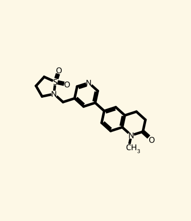 CN1C(=O)CCc2cc(-c3cncc(CN4CCCS4(=O)=O)c3)ccc21